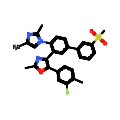 Cc1nc(-c2cc(-c3cccc(S(C)(=O)=O)c3)ccc2-n2cc(C(F)(F)F)nc2C)c(-c2ccc(C)c(F)c2)o1